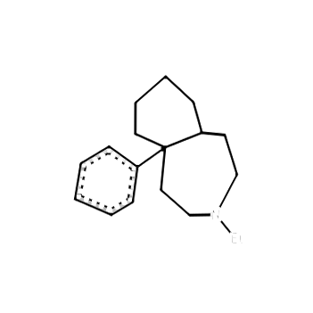 CCN1CCC2CCCCC2(c2ccccc2)CC1